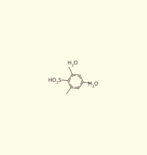 Cc1cc(C)c(S(=O)(=O)O)c(C)c1.O.O